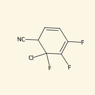 N#CC1C=CC(F)=C(F)C1(F)Cl